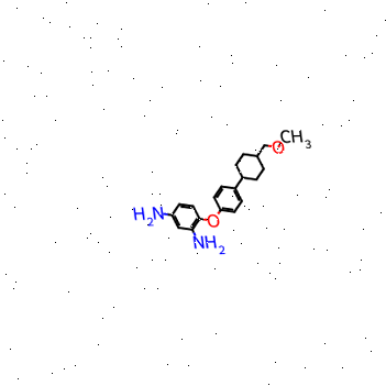 COCC1CCC(c2ccc(Oc3ccc(N)cc3N)cc2)CC1